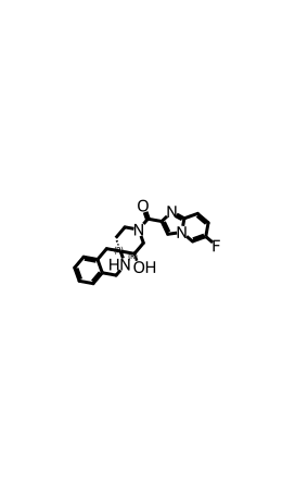 O=C(c1cn2cc(F)ccc2n1)N1CC[C@]2(Cc3ccccc3CN2)[C@H](O)C1